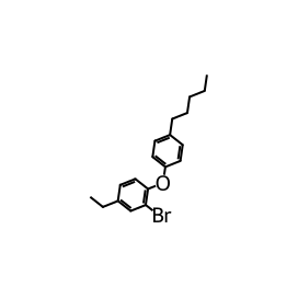 CCCCCc1ccc(Oc2ccc(CC)cc2Br)cc1